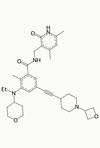 CCN(c1cc(C#CC2CCN(C3COC3)CC2)cc(C(=O)NCc2c(C)cc(C)[nH]c2=O)c1C)C1CCOCC1